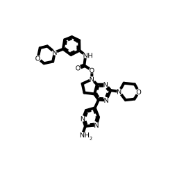 Nc1ncc(-c2nc(N3CCOCC3)nc3c2CCN3OC(=O)Nc2cccc(N3CCOCC3)c2)cn1